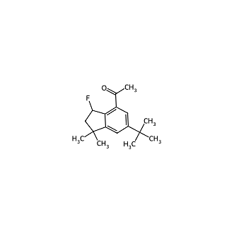 CC(=O)c1cc(C(C)(C)C)cc2c1C(F)CC2(C)C